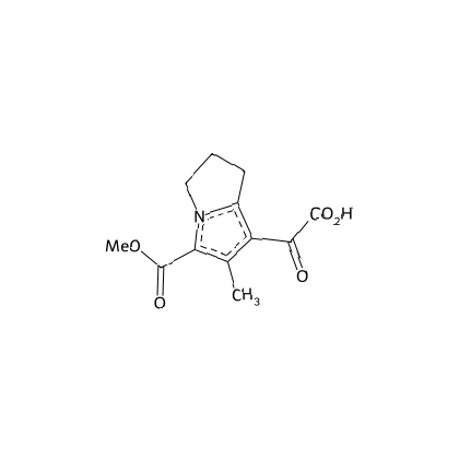 COC(=O)c1c(C)c(C(=O)C(=O)O)c2n1CCC2